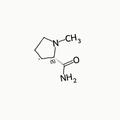 CN1CC[CH][C@H]1C(N)=O